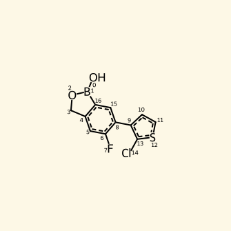 OB1OCc2cc(F)c(-c3ccsc3Cl)cc21